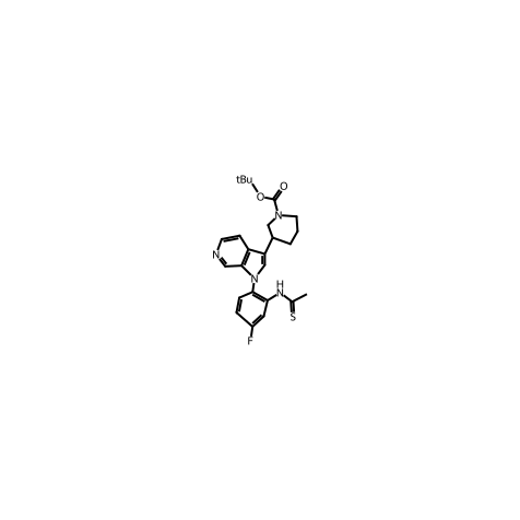 CC(=S)Nc1cc(F)ccc1-n1cc(C2CCCN(C(=O)OC(C)(C)C)C2)c2ccncc21